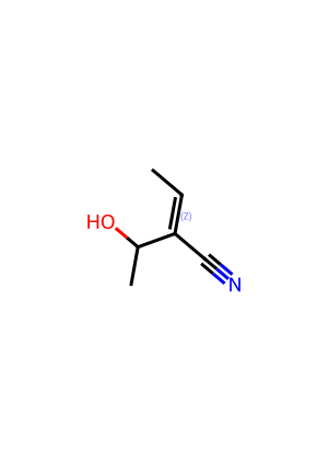 C/C=C(/C#N)C(C)O